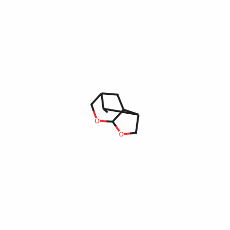 CC1C2COC3OCC1C3C2